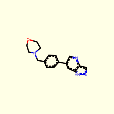 c1cc(-c2cnc3cn[nH]c3c2)ccc1CN1CCOCC1